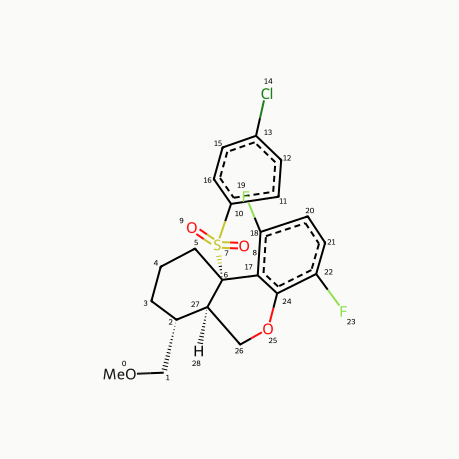 COC[C@@H]1CCC[C@@]2(S(=O)(=O)c3ccc(Cl)cc3)c3c(F)ccc(F)c3OC[C@@H]12